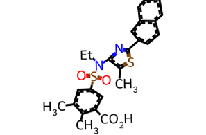 CCN(c1nc(-c2ccc3ccccc3c2)sc1C)S(=O)(=O)c1cc(C)c(C)c(C(=O)O)c1